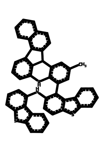 Cc1cc(-c2c(Nc3cccc4sc5ccccc5c34)ccc3sc4ccccc4c23)c2c(c1)C1c3ccc4ccccc4c3-c3cccc(c31)B2